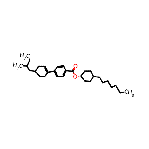 CCCCCCC[C@H]1CC[C@H](OC(=O)c2ccc(C3=CCC(CC(C)CC)CC3)cc2)CC1